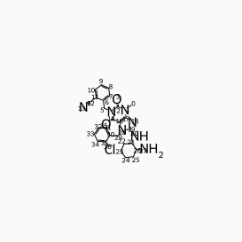 Cn1c(=O)n(Cc2ccccc2C#N)c(=O)c2c1nc(N[C@@H]1CCCC[C@@H]1N)n2Cc1ccccc1Cl